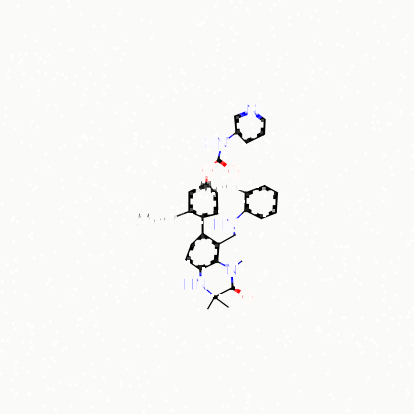 COc1ccccc1NCc1c(-c2ccc(OC(=O)Nc3cccnc3)cc2OC)ccc2c1N(C)C(=O)C(C)(C)N2